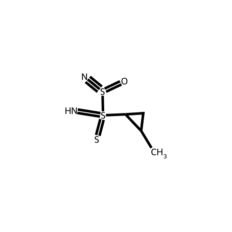 CC1CC1S(=N)(=S)S(#N)=O